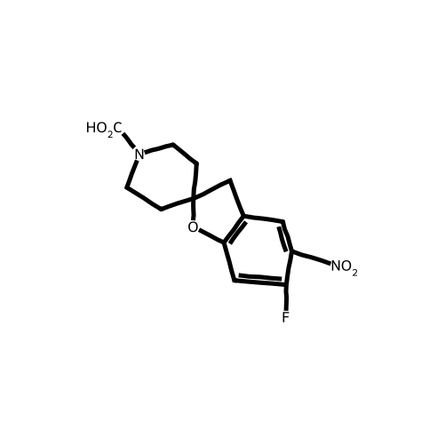 O=C(O)N1CCC2(CC1)Cc1cc([N+](=O)[O-])c(F)cc1O2